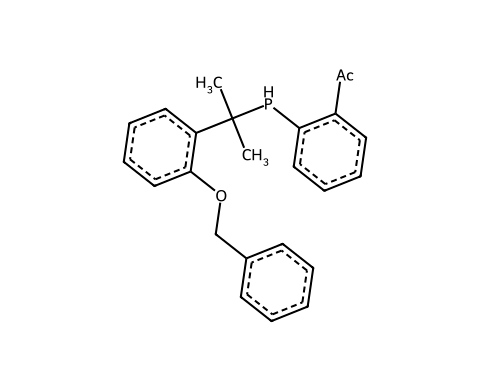 CC(=O)c1ccccc1PC(C)(C)c1ccccc1OCc1ccccc1